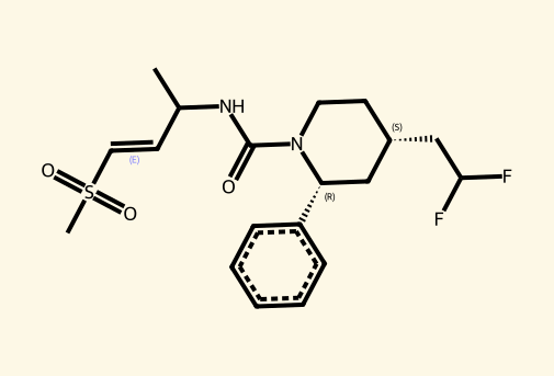 CC(/C=C/S(C)(=O)=O)NC(=O)N1CC[C@H](CC(F)F)C[C@@H]1c1ccccc1